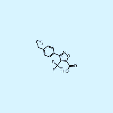 CCc1ccc(-c2noc(C(=O)O)c2C(F)(F)F)cc1